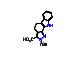 CCCCn1nc2c(c1C(=O)O)CCc1c-2[nH]c2ccccc12